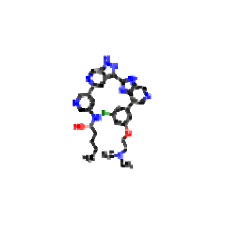 CCCCC(O)Nc1cncc(-c2cc3c(-c4nc5c(-c6cc(F)cc(OCCN(C)C)c6)cncc5[nH]4)n[nH]c3cn2)c1